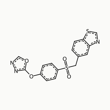 O=S(=O)(Cc1ccc2scnc2c1)c1ccc(Oc2nnco2)cc1